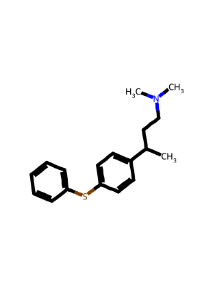 CC(CCN(C)C)c1ccc(Sc2ccccc2)cc1